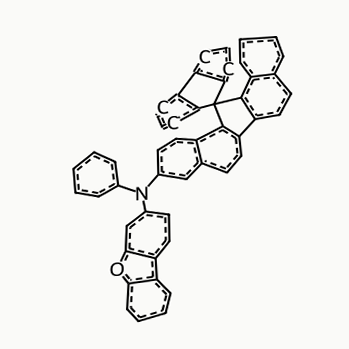 c1ccc(N(c2ccc3c4c(ccc3c2)-c2ccc3ccccc3c2C42c3ccccc3-c3ccccc32)c2ccc3c(c2)oc2ccccc23)cc1